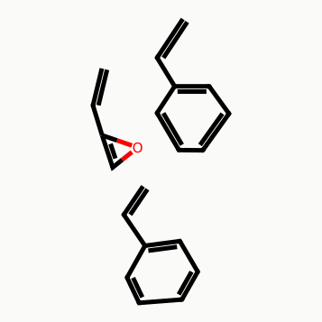 C=CC1=CO1.C=Cc1ccccc1.C=Cc1ccccc1